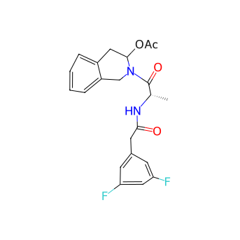 CC(=O)OC1Cc2ccccc2CN1C(=O)[C@H](C)NC(=O)Cc1cc(F)cc(F)c1